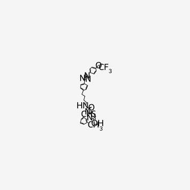 Cc1cccc(C)c1N1/C(=N/C(=O)NCCCCc2ccc(-c3ncn(-c4ccc(OC(F)(F)F)cc4)n3)cc2)SCC1O